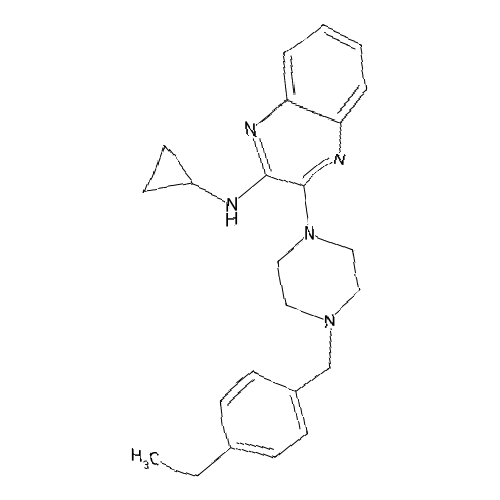 CCc1ccc(CN2CCN(c3nc4ccccc4nc3NC3CC3)CC2)cc1